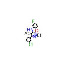 CCn1nc(-c2cccc(Cl)c2)c(C(C)=O)c(Nc2cccc(F)c2)c1=O